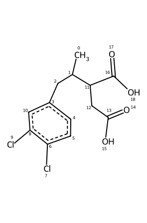 CC(Cc1ccc(Cl)c(Cl)c1)C(CC(=O)O)C(=O)O